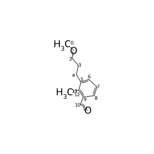 COCCCc1cccc(C=O)c1C